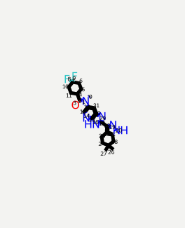 CN(C(=O)C1CCC(F)(F)CC1)c1cnc2[nH]c(-c3n[nH]c4c3CCC(C)(C)C4)nc2c1